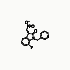 O=C1C(=C[N+](=O)[O-])c2cccc(F)c2N1Cc1ccccc1